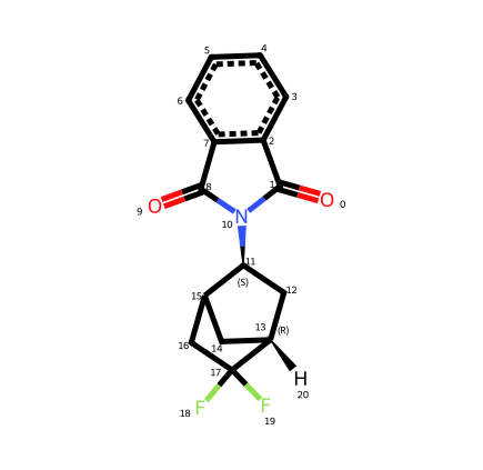 O=C1c2ccccc2C(=O)N1[C@H]1C[C@H]2CC1CC2(F)F